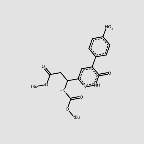 CC(C)(C)OC(=O)CC(NC(=O)OC(C)(C)C)c1cc(-c2ccc([N+](=O)[O-])cc2)c(=O)[nH]n1